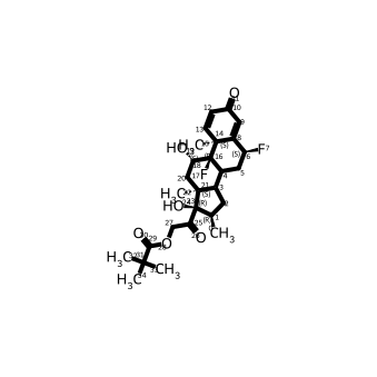 C[C@@H]1CC2C3C[C@H](F)C4=CC(=O)C=C[C@]4(C)[C@@]3(F)[C@@H](O)C[C@]2(C)[C@@]1(O)C(=O)COC(=O)C(C)(C)C